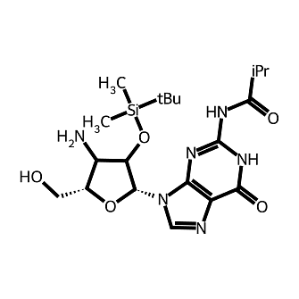 CC(C)C(=O)Nc1nc2c(ncn2[C@@H]2O[C@H](CO)C(N)C2O[Si](C)(C)C(C)(C)C)c(=O)[nH]1